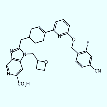 N#Cc1ccc(COc2cccc(C3=CCC(Cc4nc5cnc(C(=O)O)cc5n4CC4CCO4)CC3)n2)c(F)c1